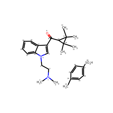 CN(C)CCn1cc(C(=O)C2C(C)(C)C2(C)C)c2ccccc21.Cc1ccc(S(=O)(=O)O)cc1